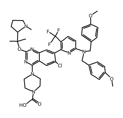 COc1ccc(CN(Cc2ccc(OC)cc2)c2ccc(C(F)(F)F)c(-c3cc4nc(OC(C)(C)C5CCCN5C)nc(N5CCN(C(=O)O)CC5)c4cc3Cl)n2)cc1